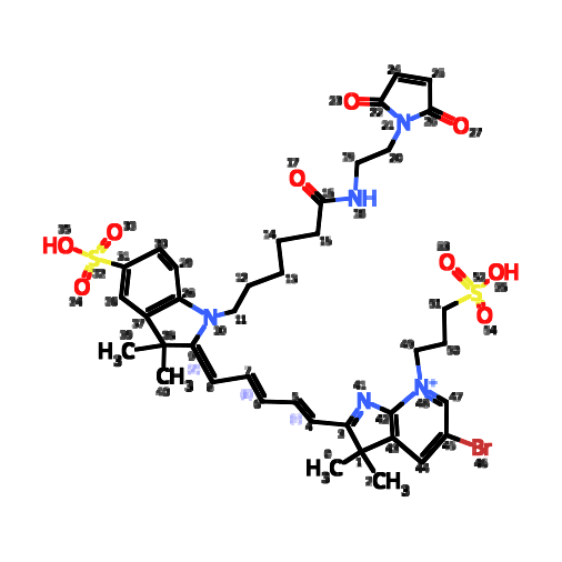 CC1(C)C(/C=C/C=C/C=C2\N(CCCCCC(=O)NCCN3C(=O)C=CC3=O)c3ccc(S(=O)(=O)O)cc3C2(C)C)=Nc2c1cc(Br)c[n+]2CCCS(=O)(=O)O